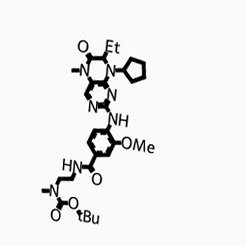 CCC1C(=O)N(C)c2cnc(Nc3ccc(C(=O)NCCN(C)C(=O)OC(C)(C)C)cc3OC)nc2N1C1CCCC1